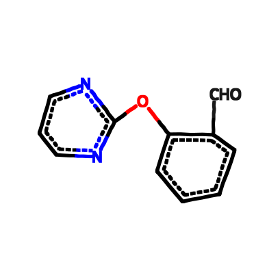 O=Cc1ccccc1Oc1ncccn1